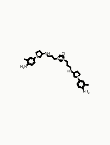 Cc1cc(N2CCC(NCCCn3cc[n+](CCCNC4CCN(c5ccc(N)c(C)c5)C4)c3)C2)ccc1N.[Cl-]